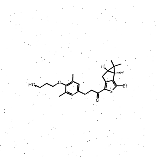 CCc1sc(C(=O)CCc2cc(C)c(OCCCO)c(C)c2)c2c1[C@@H]1[C@H](C2)C1(C)C